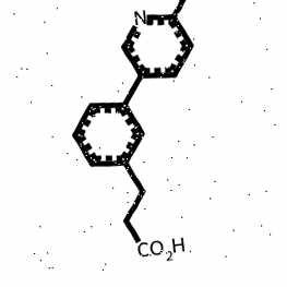 COc1ccc(-c2cccc(CCC(=O)O)c2)cn1